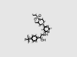 CCS(=O)(=O)N1CCN(c2cc(NCC(O)c3ccc(C(F)(F)F)cc3)ncn2)CC1C